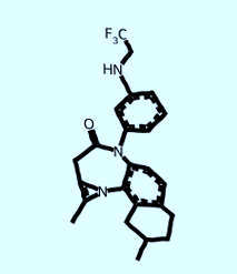 CC1=C2CC(=O)N(c3cccc(NCC(F)(F)F)c3)c3ccc4c(c3N12)CC(C)CC4